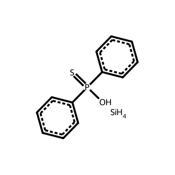 OP(=S)(c1ccccc1)c1ccccc1.[SiH4]